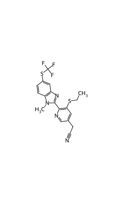 CCSc1cc(CC#N)cnc1-c1nc2cc(SC(F)(F)F)ccc2n1C